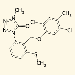 CSc1cccc(-n2nnn(C)c2=O)c1COc1cc(Cl)c(C)cc1Cl